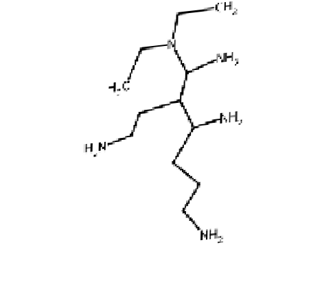 CCN(CC)C(N)C(CCN)C(N)CCCN